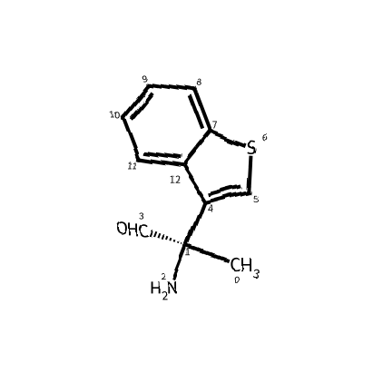 C[C@](N)(C=O)c1csc2ccccc12